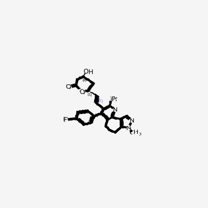 CC(C)c1nc2c(c(-c3ccc(F)cc3)c1/C=C/[C@@H]1C[C@@H](O)CC(=O)O1)CCCc1c-2cnn1C